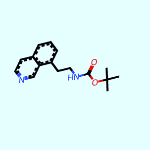 CC(C)(C)OC(=O)NCCc1cccc2ccncc12